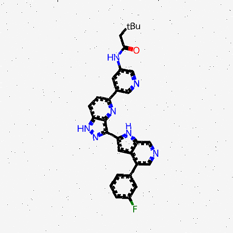 CC(C)(C)CC(=O)Nc1cncc(-c2ccc3[nH]nc(-c4cc5c(-c6cccc(F)c6)cncc5[nH]4)c3n2)c1